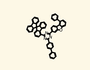 c1ccc(-c2ccc(-c3nc(-c4ccc5c(c4)oc4cccc(-c6ccccc6)c45)nc(-c4cccc5c4-c4ccccc4C54c5ccccc5-c5ccccc54)n3)cc2)cc1